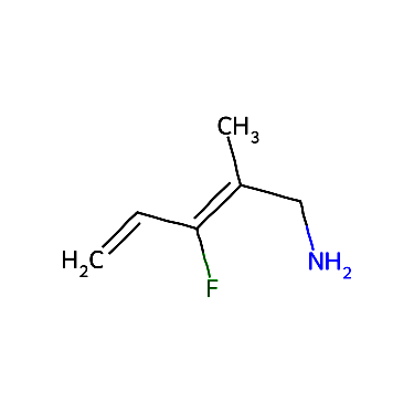 C=C/C(F)=C(\C)CN